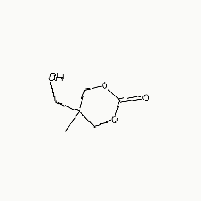 CC1(CO)COC(=O)OC1